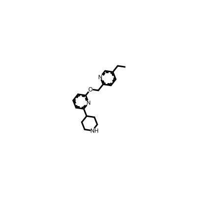 CCc1ccc(COc2cccc(C3CCNCC3)n2)nc1